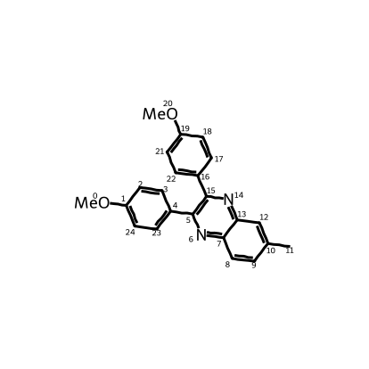 COc1ccc(-c2nc3ccc(C)cc3nc2-c2ccc(OC)cc2)cc1